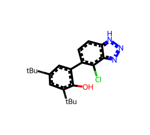 CC(C)(C)c1cc(-c2ccc3[nH]nnc3c2Cl)c(O)c(C(C)(C)C)c1